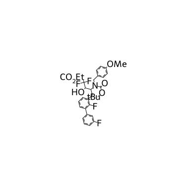 CCOC(=O)C(F)(F)C(O)C(Cc1cccc(-c2cccc(F)c2)c1F)N(Cc1ccc(OC)cc1)C(=O)OC(C)(C)C